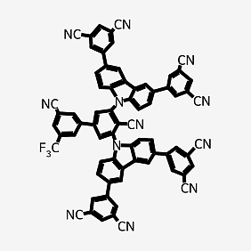 N#Cc1cc(C#N)cc(-c2ccc3c(c2)c2cc(-c4cc(C#N)cc(C#N)c4)ccc2n3-c2cc(-c3cc(C#N)cc(C(F)(F)F)c3)cc(-n3c4ccc(-c5cc(C#N)cc(C#N)c5)cc4c4cc(-c5cc(C#N)cc(C#N)c5)ccc43)c2C#N)c1